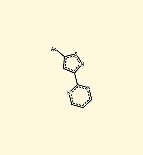 CC(=O)c1cc(-c2ncccn2)ns1